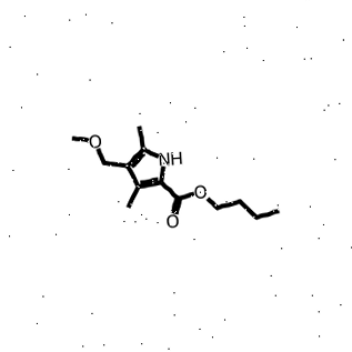 CCCCOC(=O)c1[nH]c(C)c(COC)c1C